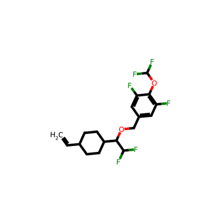 C=CC1CCC(C(OCc2cc(F)c(OC(F)F)c(F)c2)C(F)F)CC1